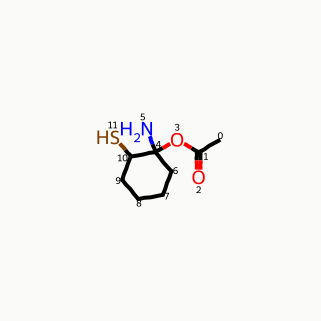 CC(=O)OC1(N)CCCCC1S